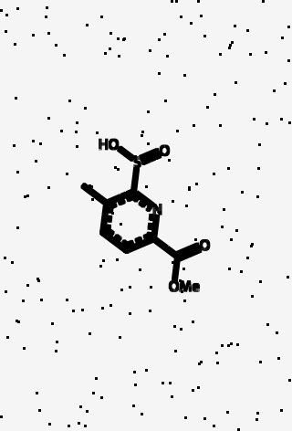 COC(=O)c1ccc(C)c(S(=O)O)n1